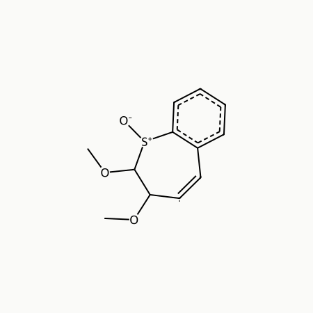 COC1[C]=Cc2ccccc2[S+]([O-])C1OC